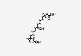 CC(C)(CCCCCC(O)CCCCCC1(CCO)CC1)CC(=O)O